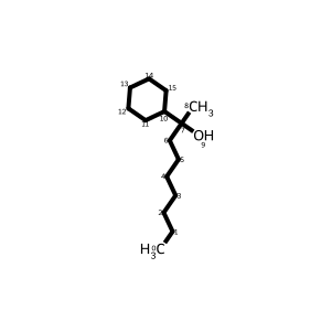 CCCCCCCC(C)(O)C1CCCCC1